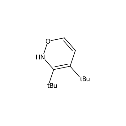 CC(C)(C)C1=C(C(C)(C)C)NOC=C1